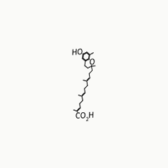 C/C(=C\CC/C(C)=C/CCC1(C)CCc2cc(O)cc(C)c2O1)CC/C=C(\C)C(=O)O